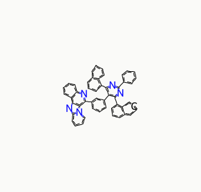 c1ccc(-c2nc(-c3cccc4ccccc34)c(-c3cccc(-c4nc5ccccc5c5nc6ccccn6c45)c3)c(-c3cccc4ccccc34)n2)cc1